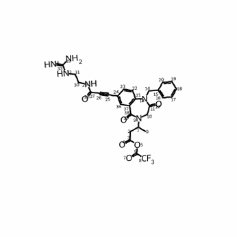 CC(CC(=O)OC(=O)C(F)(F)F)N1CC(=O)N(Cc2ccccc2)c2ccc(C#CC(=O)NCCNC(=N)N)cc2C1=O